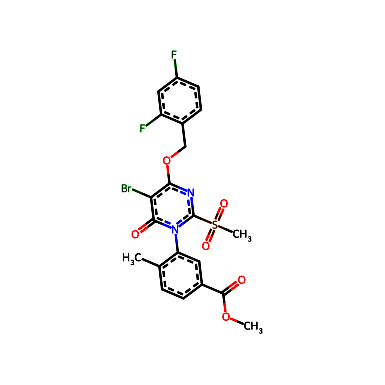 COC(=O)c1ccc(C)c(-n2c(S(C)(=O)=O)nc(OCc3ccc(F)cc3F)c(Br)c2=O)c1